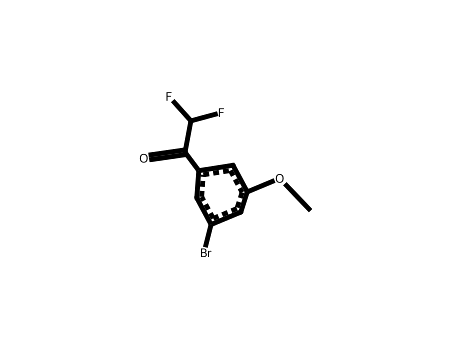 COc1cc(Br)cc(C(=O)C(F)F)c1